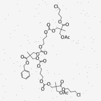 CC(=O)OCC(C)(COC(=O)OCCCOC(=O)OCC(C)(COC(=O)OCCCOC(=O)OCC(C)(COC(C)=O)C(=O)OCCCCl)C(=O)OCc1ccccc1)C(=O)OCCCCl